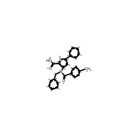 Cc1ccc(C(=O)N(Cc2ccccc2)c2cc(-c3ccccc3)sc2C(=O)O)cc1